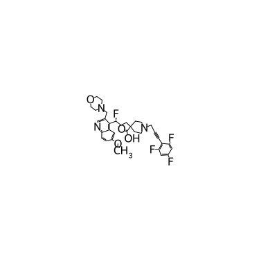 COc1ccc2ncc(CN3CCOCC3)c([C@@H](F)CCC3(C(=O)O)CCN(CC#Cc4c(F)cc(F)cc4F)CC3)c2c1